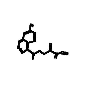 CC(C)c1ccc2c(N(C)CCC(=O)NC=O)cncc2c1